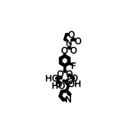 O=C1OCCN1C(=O)Oc1ccc(C2OP(=O)(O)C(O)(Cc3cccnc3)P(=O)(O)O2)c(F)c1